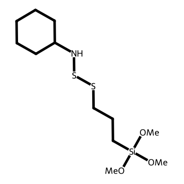 CO[Si](CCCSSNC1CCCCC1)(OC)OC